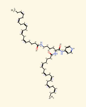 CC/C=C\C/C=C\C/C=C\C/C=C\C/C=C\CCCC(=O)NCCCC[C@H](NC(=O)CCC/C=C\C/C=C\C/C=C\C/C=C\C/C=C\CC)C(=O)Nc1ccncc1